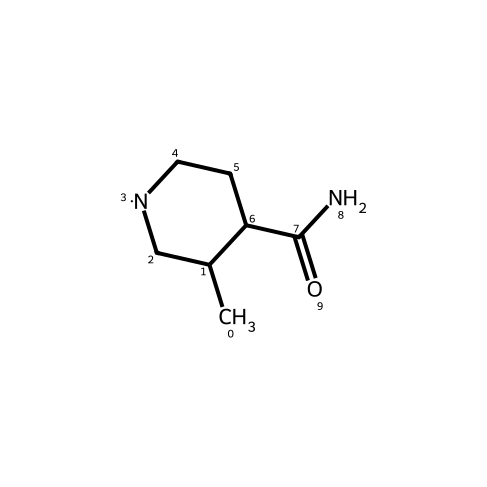 CC1C[N]CCC1C(N)=O